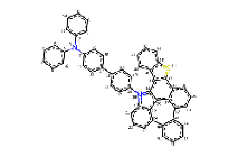 c1ccc(N(c2ccccc2)c2ccc(-c3ccc(-n4c5cccc6c5c5c7c(cccc7c7sc8ccccc8c7c54)-c4ccccc4-6)cc3)cc2)cc1